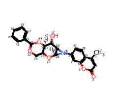 Cc1cc(=O)oc2cc(N3C4C(O)[C@@H]5OC(c6ccccc6)OCC5O[C@@H]43)ccc12